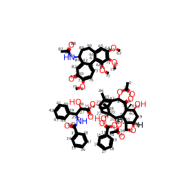 CC(=O)O[C@H]1C(=O)[C@@]2(C)[C@H]([C@H](OC(=O)c3ccccc3)[C@]3(O)C[C@H](OC(=O)[C@H](O)[C@@H](NC(=O)c4ccccc4)c4ccccc4)C(C)=C1C3(C)C)[C@]1(OC(C)=O)CO[C@@H]1C[C@@H]2O.COc1cc2c(c(OC)c1OC)-c1ccc(OC)c(=O)cc1[C@@H](NC(C)=O)CC2